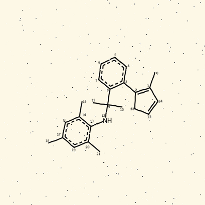 CC1=C(c2ccccc2C(C)(C)Nc2c(C)cc(C)cc2C)CC=C1